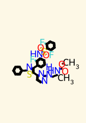 COC(=O)N[C@H](C)CNc1nccc(-c2sc(-c3ccccc3)nc2-c2cccc(NS(=O)(=O)c3c(F)cccc3F)c2F)n1